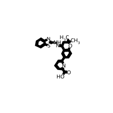 CC1(C)C/C(=N\Nc2nc3ccccc3s2)c2cc(-c3cccc(C(=O)O)n3)ccc2O1